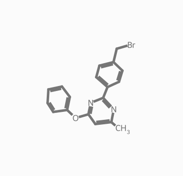 Cc1cc(Oc2ccccc2)nc(-c2ccc(CBr)cc2)n1